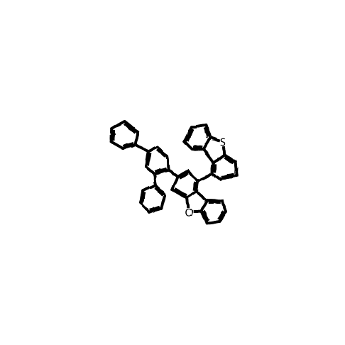 c1ccc(-c2ccc(-c3cc(-c4cccc5sc6ccccc6c45)c4c(c3)oc3ccccc34)c(-c3ccccc3)c2)cc1